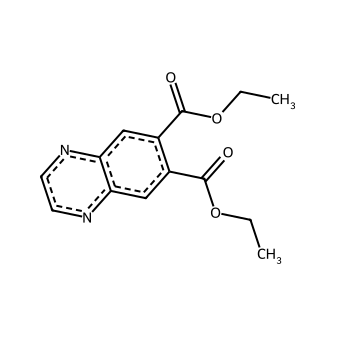 CCOC(=O)c1cc2nccnc2cc1C(=O)OCC